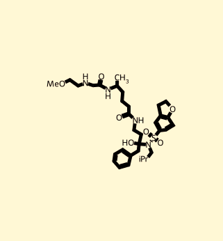 COCCNCC(=O)NC(C)CCCC(=O)NCCC(O)(Cc1ccccc1)N(CC(C)C)S(=O)(=O)c1ccc2c(c1)CCO2